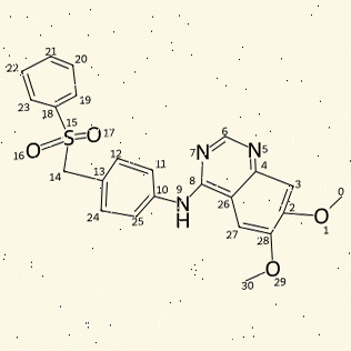 COc1cc2ncnc(Nc3ccc(CS(=O)(=O)c4ccccc4)cc3)c2cc1OC